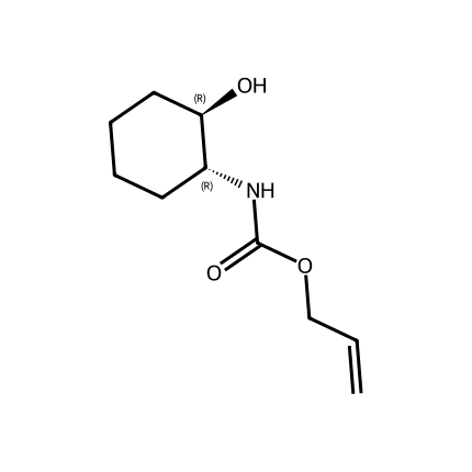 C=CCOC(=O)N[C@@H]1CCCC[C@H]1O